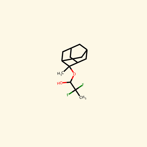 CC(F)(F)C(O)OC1(C)C2CC3CC(C2)CC1C3